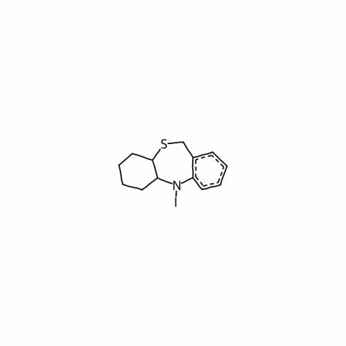 IN1c2ccccc2CSC2CCCCC21